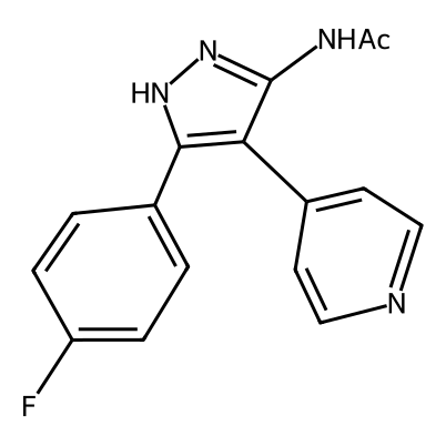 CC(=O)Nc1n[nH]c(-c2ccc(F)cc2)c1-c1ccncc1